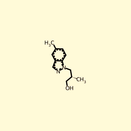 Cc1ccc2c(cnn2C[C@H](C)CO)c1